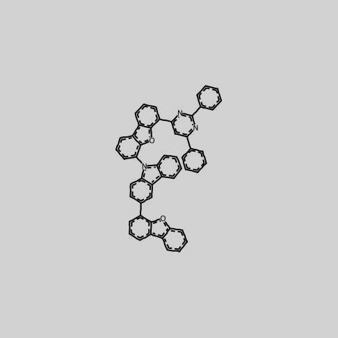 c1ccc(-c2cc(-c3cccc4c3oc3c(-n5c6ccccc6c6cc(-c7cccc8c7oc7ccccc78)ccc65)cccc34)nc(-c3ccccc3)n2)cc1